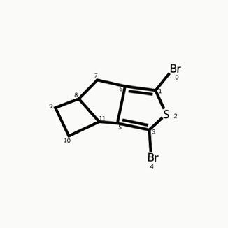 Brc1sc(Br)c2c1CC1CCC21